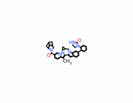 Cc1c(-c2cc3ccc(-c4ccccc4N4CCNC4=O)cc3n2CC2CC2)nn2cc(C(=O)N3CC4CC5CC3[C@H]54)ccc12